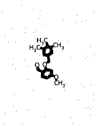 COc1ccc(C=O)c(OCc2cc(C)c(C)c(C)c2)c1